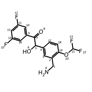 NCc1cc(C(O)C(=O)c2cc(F)cc(F)c2)ccc1OC(F)F